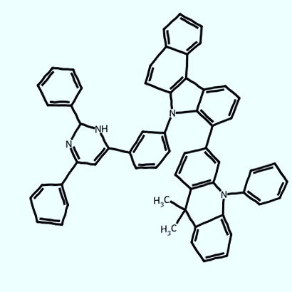 CC1(C)c2ccccc2N(c2ccccc2)c2cc(-c3cccc4c5c6ccccc6ccc5n(-c5cccc(C6=CC(c7ccccc7)=NC(c7ccccc7)N6)c5)c34)ccc21